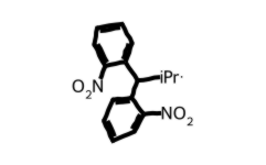 C[C](C)C(c1ccccc1[N+](=O)[O-])c1ccccc1[N+](=O)[O-]